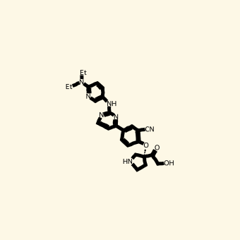 CCN(CC)c1ccc(Nc2nccc(-c3ccc(O[C@]4(C(=O)CO)CCNC4)c(C#N)c3)n2)cn1